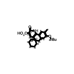 CCCCOc1cc2c(cc1C)-c1[nH]c(=O)c(C(=O)O)cc1C1(CCCCC1)C2